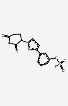 O=C1CCC(n2ccc(-c3cccc(OS(=O)(=O)F)c3)n2)C(=O)N1